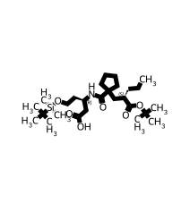 CCC[C@@H](CC1(C(=O)N[C@H](CCO[Si](C)(C)C(C)(C)C)CC(=O)O)CCCC1)C(=O)OC(C)(C)C